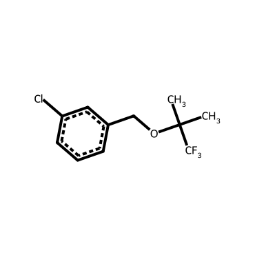 CC(C)(OCc1cccc(Cl)c1)C(F)(F)F